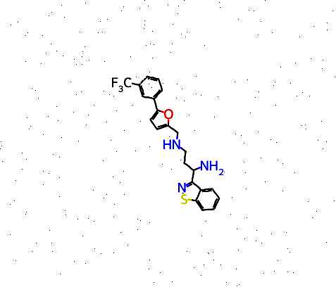 NC(CCNCc1ccc(-c2cccc(C(F)(F)F)c2)o1)c1nsc2ccccc12